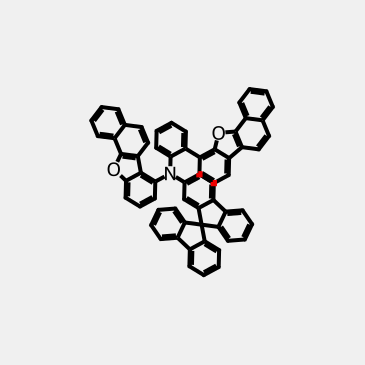 c1ccc(N(c2ccc3c(c2)C2(c4ccccc4-c4ccccc42)c2ccccc2-3)c2cccc3oc4c5ccccc5ccc4c23)c(-c2cccc3c2oc2c4ccccc4ccc32)c1